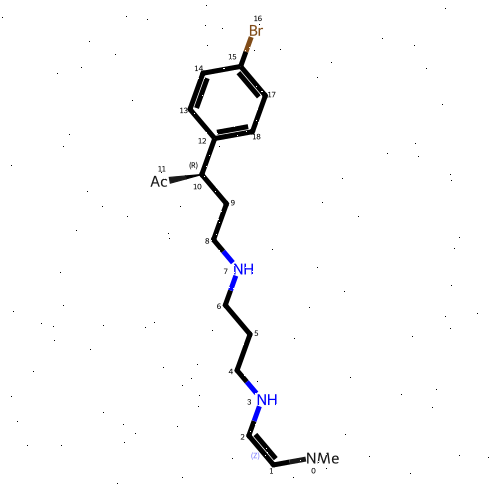 CN/C=C\NCCCNCC[C@@H](C(C)=O)c1ccc(Br)cc1